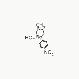 CN1CC[C@H](c2ccc([N+](=O)[O-])cc2)[C@H](CO)C1